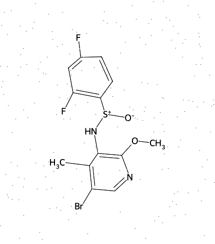 COc1ncc(Br)c(C)c1N[S+]([O-])c1ccc(F)cc1F